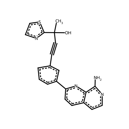 CC(O)(C#Cc1cccc(-c2ccc3ccnc(N)c3n2)c1)c1nccs1